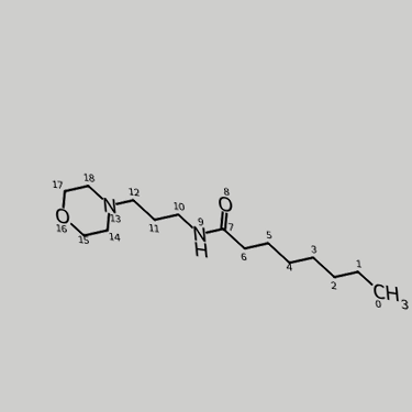 CCCCCCCC(=O)NCCCN1CCOCC1